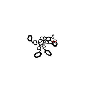 CSc1cc2c(cc1C(C)=O)[C@]1(OC2)O[C@H](COCc2ccccc2)[C@@H](OCc2ccccc2)[C@H](OCc2ccccc2)[C@H]1OCc1ccccc1